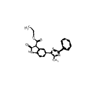 CCOC(=O)C1C(=O)Nc2ccc(-c3sc(-c4ccccc4)nc3C)cc21